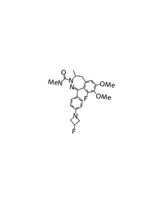 CNC(=O)N1N=C(c2ccc(N3CC(F)C3)cc2)c2c(cc(OC)c(OC)c2F)CC1C